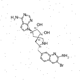 Nc1nc2cc(C[C@@H]3C[C@@]4(CN3)C[C@@H](n3ccc5c(N)ncnc53)[C@H](O)[C@@H]4O)ccc2cc1Br